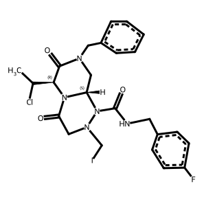 CC(Cl)[C@H]1C(=O)N(Cc2ccccc2)C[C@H]2N1C(=O)CN(CI)N2C(=O)NCc1ccc(F)cc1